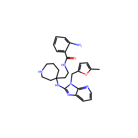 Cc1ccc(Cn2c(NC3(CCNC(=O)c4ccccc4N)CCCNCC3)nc3cccnc32)o1